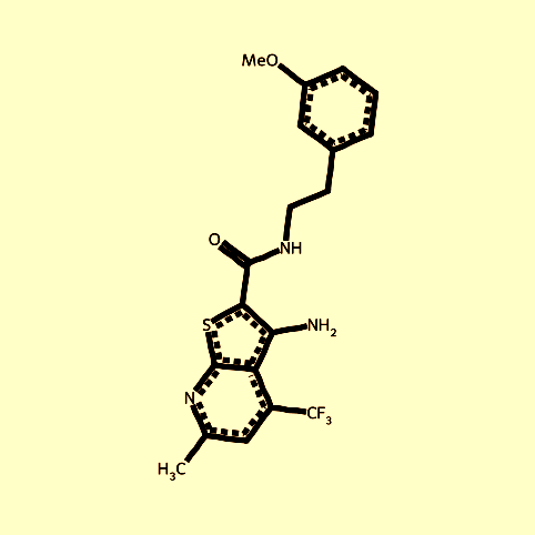 COc1cccc(CCNC(=O)c2sc3nc(C)cc(C(F)(F)F)c3c2N)c1